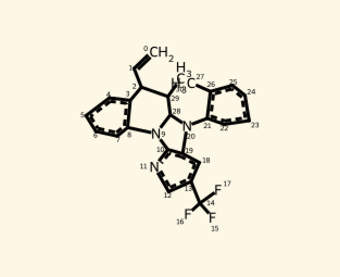 C=CC1c2ccccc2N2c3ncc(C(F)(F)F)cc3N(c3ccccc3C)C2C1C